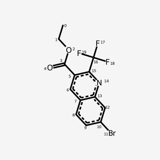 CCOC(=O)c1cc2ccc(Br)cc2nc1C(F)(F)F